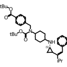 CC(C)C(=Cc1ccccc1)C1C[C@@H]1NC1CCC(N(Cc2ccc(C(=O)OC(C)(C)C)cc2)C(=O)OC(C)(C)C)CC1